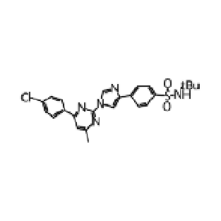 Cc1cc(-c2ccc(Cl)cc2)nc(-n2cnc(-c3ccc(S(=O)(=O)NC(C)(C)C)cc3)c2)n1